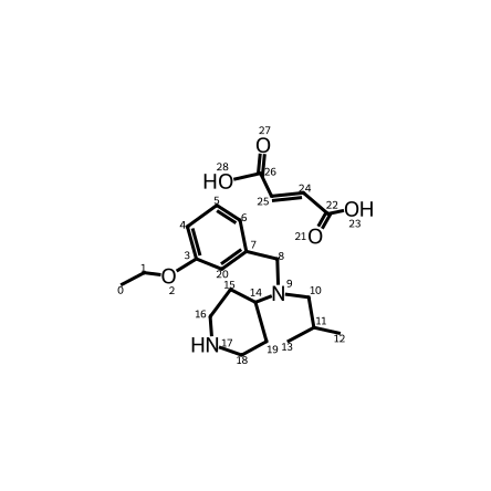 CCOc1cccc(CN(CC(C)C)C2CCNCC2)c1.O=C(O)C=CC(=O)O